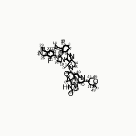 C[C@H]1c2c(nn(-c3ccc(F)c(C4CC4)c3)c2-n2ccn(-c3ccc4c(cnn4C)c3F)c2=O)CCN1C(=O)c1cc2nc([C@H]3CCOC(C)(C)C3)ccn2c1C1(c2noc(=O)[nH]2)CC1